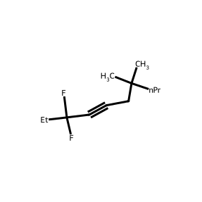 CCCC(C)(C)CC#CC(F)(F)CC